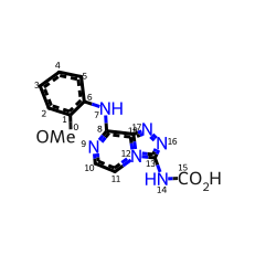 COc1ccccc1Nc1nccn2c(NC(=O)O)nnc12